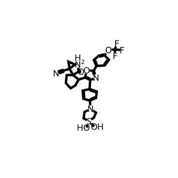 N#CC1(C2(C(N)=O)CCCCC2c2oc(-c3ccc(OC(F)(F)F)cc3)nc2-c2ccc(N3CCS(O)(O)CC3)cc2)CC1